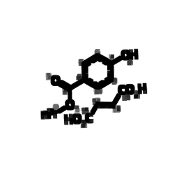 CCCOC(=O)c1ccc(O)cc1.O=C(O)C=CC(=O)O